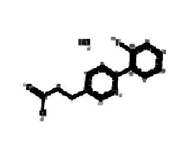 Cl.O=C(Cl)CCc1ccc(-c2ccccc2F)nc1